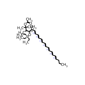 CCC/C=C/C=C/C=C/C=C/C=C/C=C/C=C/[C@H](C)[C@@H](O[Si](CC)(CC)CC)[C@@H](C)C(C)(C)OC(C)=O